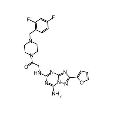 Nc1nc(NCC(=O)N2CCN(Cc3ccc(F)cc3F)CC2)nc2nc(-c3ccco3)nn12